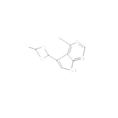 CC1OC(c2c[nH]c3ncnc(Cl)c23)O1